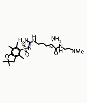 CNCCNC(=O)[C@@H](N)CCCN/C(N)=N/S(=O)(=O)c1c(C)c(C)c2c(c1C)CC(C)(C)O2